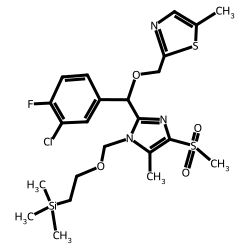 Cc1cnc(COC(c2ccc(F)c(Cl)c2)c2nc(S(C)(=O)=O)c(C)n2COCC[Si](C)(C)C)s1